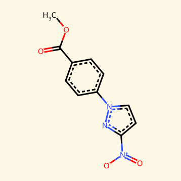 COC(=O)c1ccc(-n2ccc([N+](=O)[O-])n2)cc1